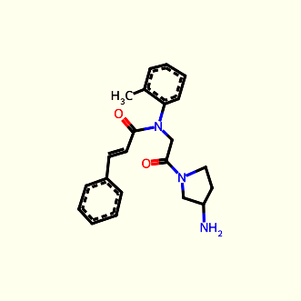 Cc1ccccc1N(CC(=O)N1CCC(N)C1)C(=O)/C=C/c1ccccc1